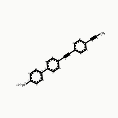 CCCC#Cc1ccc(C#Cc2ccc(-c3ccc(CCCCCCC)cc3)cc2)cc1